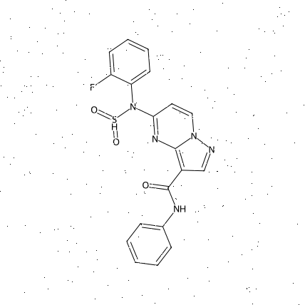 O=C(Nc1ccccc1)c1cnn2ccc(N(c3ccccc3F)[SH](=O)=O)nc12